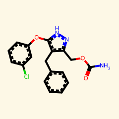 NC(=O)OCc1n[nH]c(Oc2cccc(Cl)c2)c1Cc1ccccc1